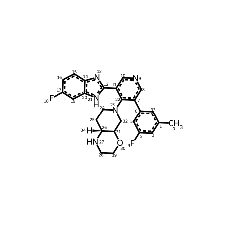 Cc1cc(F)cc(-c2cncc(-c3nc4ccc(F)cc4[nH]3)c2N2CC[C@H]3NCCOC3C2)c1